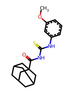 COc1cccc(NC(=S)NC(=O)C23CC4CC(CC(C4)C2)C3)c1